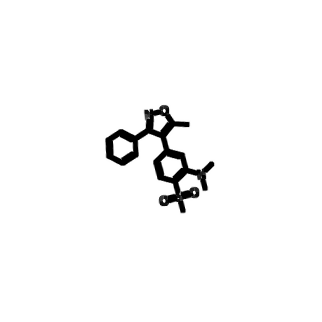 Cc1onc(-c2ccccc2)c1-c1ccc(S(C)(=O)=O)c(N(C)C)c1